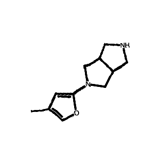 Cc1coc(N2CC3CNCC3C2)c1